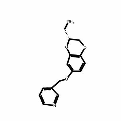 NC[C@@H]1COc2ccc(OCc3cccnc3)cc2O1